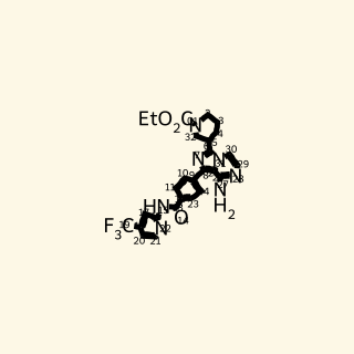 CCOC(=O)N1CCCC(c2nc(-c3ccc(C(=O)Nc4cc(C(F)(F)F)ccn4)cc3)c3c(N)nccn23)C1